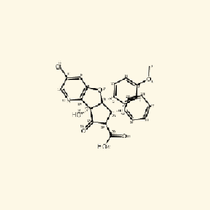 COc1ccc([C@@]23Oc4cc(Cl)cnc4[C@]2(O)C(=O)[C@H](C(=O)O)[C@H]3c2ccccc2)cc1